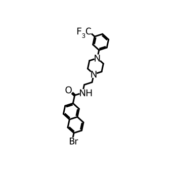 O=C(NCCN1CCN(c2cccc(C(F)(F)F)c2)CC1)c1ccc2cc(Br)ccc2c1